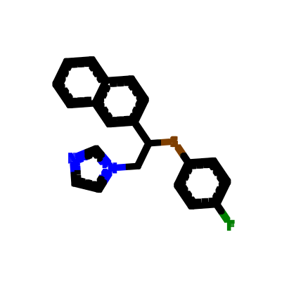 Fc1ccc(SC(Cn2ccnc2)c2ccc3ccccc3c2)cc1